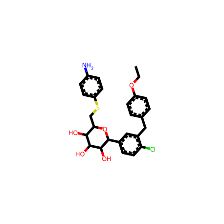 CCOc1ccc(Cc2cc(C3OC(CSc4ccc(N)cc4)C(O)C(O)C3O)ccc2Cl)cc1